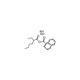 CCCCC(CC)C(=O)OC(=O)c1cccc2ccccc12.[KH].[KH]